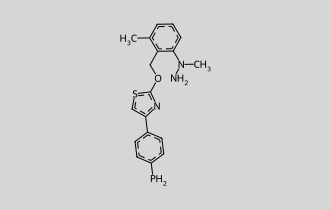 Cc1cccc(N(C)N)c1COc1nc(-c2ccc(P)cc2)cs1